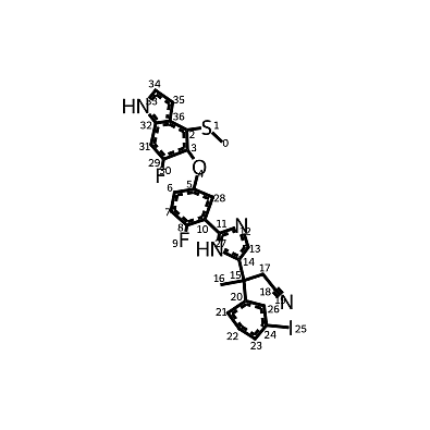 CSc1c(Oc2ccc(F)c(-c3ncc(C(C)(CC#N)c4cccc(I)c4)[nH]3)c2)c(F)cc2[nH]ccc12